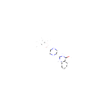 CC1(C)OB(c2cnc(-c3nc4ccccc4c(=O)[nH]3)cn2)OC1(C)C